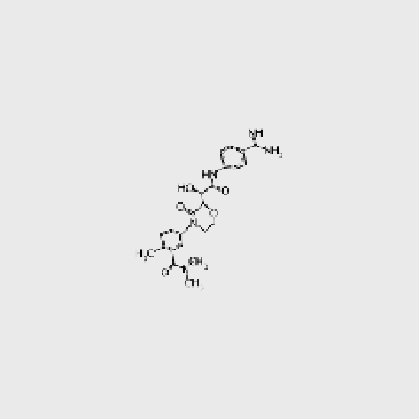 Cc1ccc(N2CCO[C@H]([C@@H](O)C(=O)Nc3ccc(C(=N)N)cc3)C2=O)cc1C(=O)N(C)C